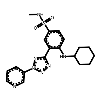 CNS(=O)(=O)c1ccc(NC2CCCCC2)c(-c2nnn(-c3cccnc3)n2)c1